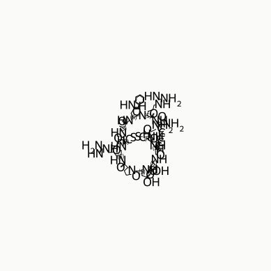 C[C@@H]1NC(=O)[C@@H]2CSSC[C@H](NC(=O)CN)C(=O)N[C@@H](CCCCC[C@@H](C(N)=O)NC(=O)[C@H](CCCNC(=N)N)NC(=O)[C@H](Cc3cc4ccccc4[nH]3)NC1=O)C(=O)N[C@@H](CO)C(=O)N[C@@H](CC(=O)O)C(=O)N1CCCC1C(=O)N[C@@H](CCCNC(=N)N)C(=O)N2